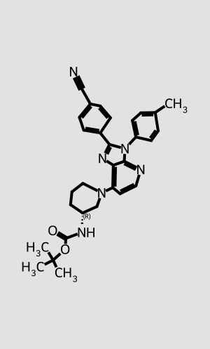 Cc1ccc(-n2c(-c3ccc(C#N)cc3)nc3c(N4CCC[C@@H](NC(=O)OC(C)(C)C)C4)ccnc32)cc1